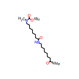 CNC(=O)CCCCCCCNC(=O)CCCCCCCN(C)C(=O)OC(C)(C)C